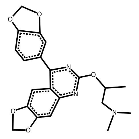 CC(CN(C)C)Oc1nc(-c2ccc3c(c2)OCO3)c2cc3c(cc2n1)OCO3